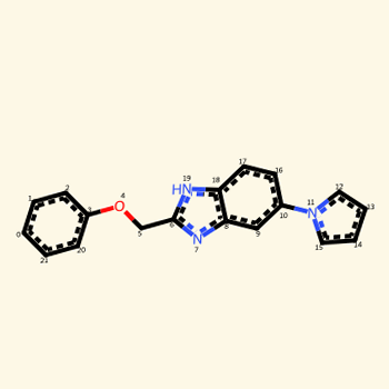 c1ccc(OCc2nc3cc(-n4cccc4)ccc3[nH]2)cc1